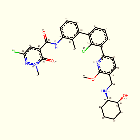 COc1nc(-c2cccc(-c3cccc(NC(=O)c4cc(Cl)nn(C)c4=O)c3C)c2Cl)ccc1CN[C@@H]1CCCC[C@@H]1O